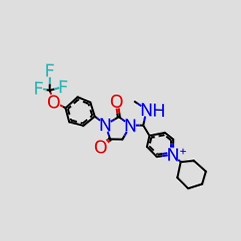 CNC(c1cc[n+](C2CCCCC2)cc1)N1CC(=O)N(c2ccc(OC(F)(F)F)cc2)C1=O